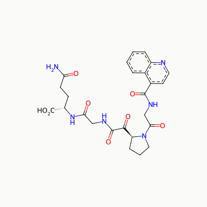 NC(=O)CC[C@H](NC(=O)CNC(=O)C(=O)[C@@H]1CCCN1C(=O)CNC(=O)c1ccnc2ccccc12)C(=O)O